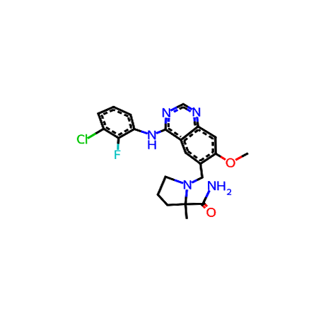 COc1cc2ncnc(Nc3cccc(Cl)c3F)c2cc1CN1CCCC1(C)C(N)=O